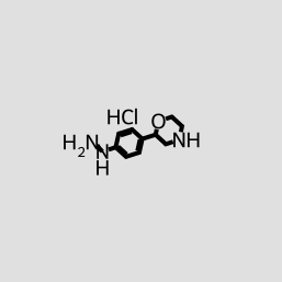 Cl.NNc1ccc(C2CNCCO2)cc1